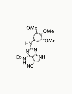 CCNc1nc(Nc2cc(OC)c(OC)c(OC)c2)nc2[nH]cc(C#N)c12